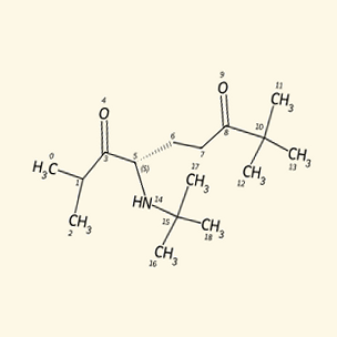 CC(C)C(=O)[C@H](CCC(=O)C(C)(C)C)NC(C)(C)C